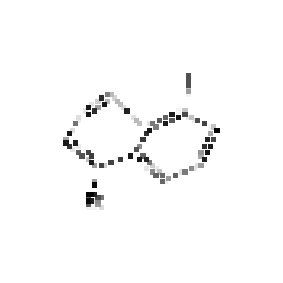 CCc1cccc2c(I)cccc12